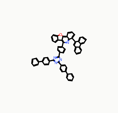 c1ccc(-c2ccc(-c3nc(-c4ccc(-c5ccccc5)cc4)nc(-c4ccc(-c5nc6c(-c7cc8ccccc8c8ccccc78)cccc6c6oc7ccccc7c56)cc4)n3)cc2)cc1